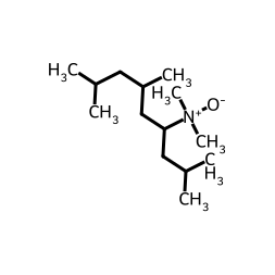 CC(C)CC(C)CC(CC(C)C)[N+](C)(C)[O-]